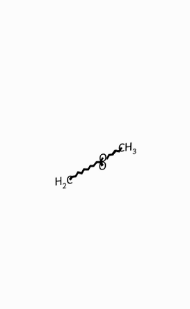 C=CCCCCCCCCC(=O)OCCC=CCC